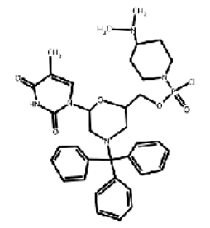 Cc1cn(C2CN(C(c3ccccc3)(c3ccccc3)c3ccccc3)CC(COP(=O)(Cl)N3CCC(N(C)C)CC3)O2)c(=O)[nH]c1=O